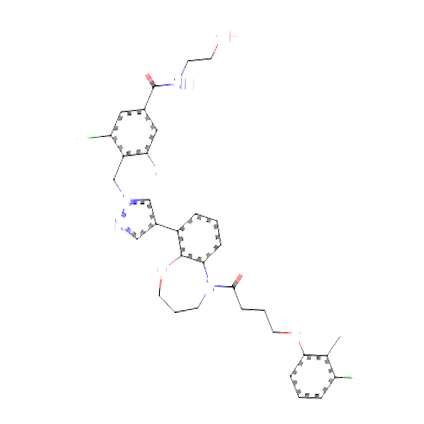 Cc1c(Cl)cccc1OCCCC(=O)N1CCCOc2c(-c3cnn(Cc4c(Cl)cc(C(=O)NCCO)cc4Cl)c3)cccc21